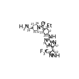 CCc1cc(Nc2nccn3c(-c4c[nH]nc4C(F)(F)F)cnc23)ccc1C(=O)N1CCC(CN)CC1